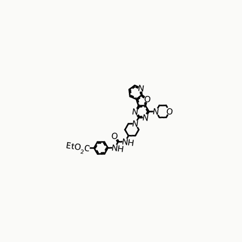 CCOC(=O)c1ccc(NC(=O)NC2CCN(c3nc(N4CCOCC4)c4oc5ncccc5c4n3)CC2)cc1